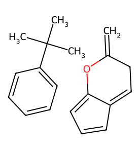 C=C1CC=C2C=CC=C2O1.CC(C)(C)c1ccccc1